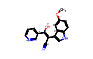 COc1ccc2[nH]cc(C(C#N)=C(O)c3cccnc3)c2c1